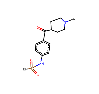 CCS(=O)(=O)Nc1ccc(C(=O)C2CCN(C(C)=O)CC2)cc1